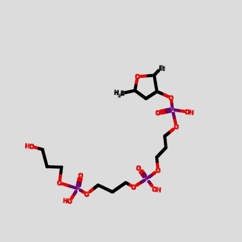 BC1CC(OP(=O)(O)OCCCOP(=O)(O)OCCCOP(=O)(O)OCCCO)C(CC)O1